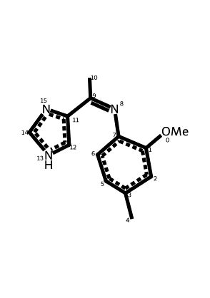 COc1cc(C)ccc1N=C(C)c1c[nH]cn1